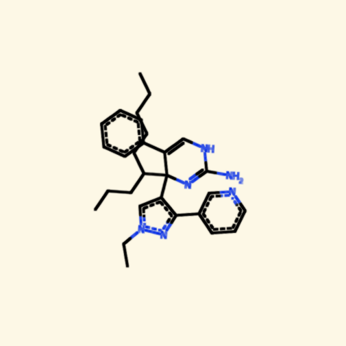 CCCCCC(CCC)C1(c2cn(CC)nc2-c2cccnc2)N=C(N)NC=C1c1ccccc1